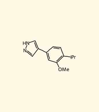 COc1cc(-c2cn[nH]c2)ccc1C(C)C